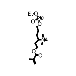 C=C(C)C(=O)OCCC(CCCOP(=O)([O-])OCC)[N+](C)(C)C